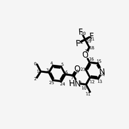 CC(C)c1ccc(C(=O)NC(C)c2cncc(OCC(F)(F)F)c2)cc1